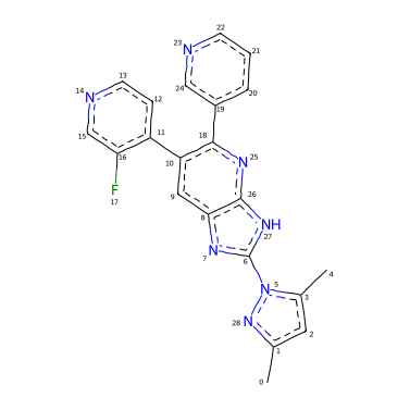 Cc1cc(C)n(-c2nc3cc(-c4ccncc4F)c(-c4cccnc4)nc3[nH]2)n1